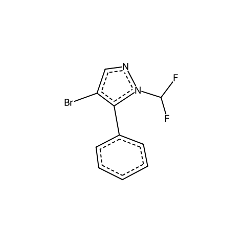 FC(F)n1ncc(Br)c1-c1ccccc1